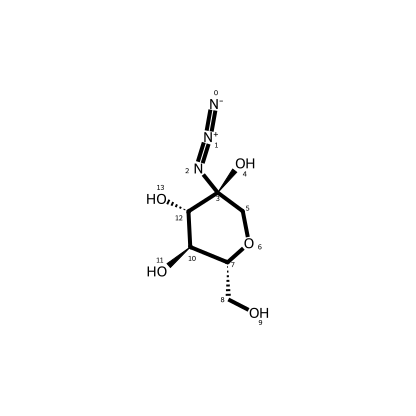 [N-]=[N+]=N[C@]1(O)CO[C@H](CO)[C@@H](O)[C@@H]1O